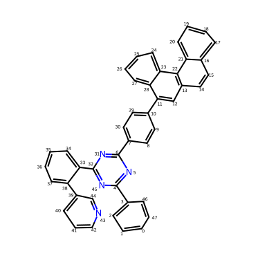 c1ccc(-c2nc(-c3ccc(-c4cc5ccc6ccccc6c5c5ccccc45)cc3)nc(-c3ccccc3-c3cccnc3)n2)cc1